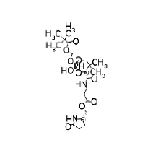 CC(C)(C)C(=O)OCO[PH]1(O)OCC(C)(C)[C@H](C(=O)NCCC(=O)OC[C@@H]2CCC(=O)N2)O1